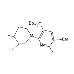 CCOC(=O)c1cc(C#N)c(C)nc1N1CCC(C)C(C)C1